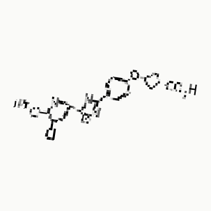 CC(C)OC1N=CC(c2nc(-c3ccc(O[C@H]4C[C@@H](C(=O)O)C4)cc3)no2)=CC1Cl